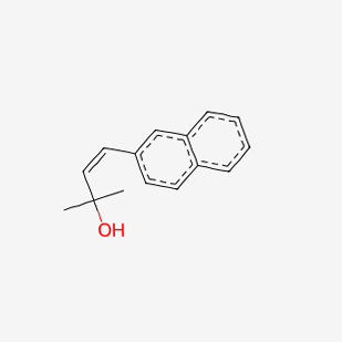 CC(C)(O)/C=C\c1ccc2ccccc2c1